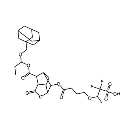 CCC(OCC12CC3CC(CC(C3)C1)C2)OC(=O)C1C2CC3C(OC(=O)C31)C2OC(=O)CCCOC(C)C(F)(F)S(=O)(=O)O